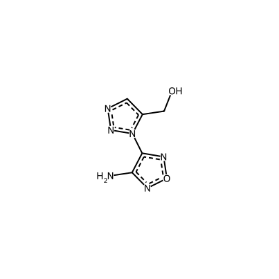 Nc1nonc1-n1nncc1CO